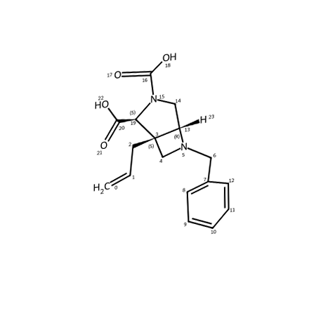 C=CC[C@]12CN(Cc3ccccc3)[C@H]1CN(C(=O)O)[C@@H]2C(=O)O